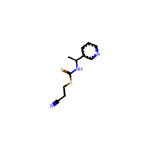 CC(NC(=S)SCCC#N)c1cccnc1